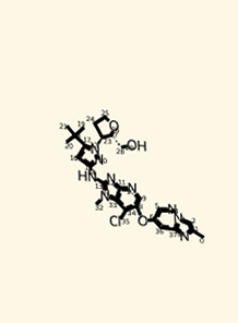 Cc1cn2ncc(Oc3cnc4nc(Nc5cc(C(C)(C)C)n([C@H]6CCO[C@@H]6CO)n5)n(C)c4c3Cl)cc2n1